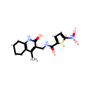 Cc1c2c([nH]c(=O)c1CNC(=O)c1ccc([N+](=O)[O-])s1)CCCC2